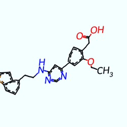 CCOc1cc(-c2cc(NCCc3cccc4sccc34)ncn2)ccc1CC(=O)O